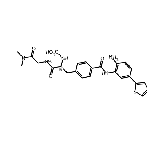 CN(C)C(=O)CNC(=O)[C@H](Cc1ccc(C(=O)Nc2cc(-c3cccs3)ccc2N)cc1)NC(=O)O